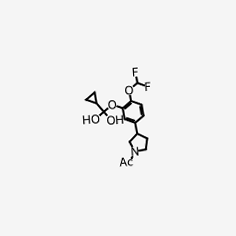 CC(=O)N1CCC(c2ccc(OC(F)F)c(OC(O)(O)C3CC3)c2)C1